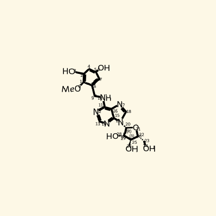 COc1c(O)cc(O)cc1CNc1ncnc2c1ncn2[C@@H]1O[C@H](CO)[C@@H](O)[C@H]1O